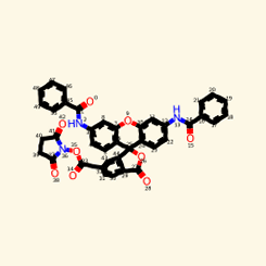 O=C(Nc1ccc2c(c1)Oc1cc(NC(=O)c3ccccc3)ccc1C21OC(=O)c2ccc(C(=O)ON3C(=O)CCC3=O)cc21)c1ccccc1